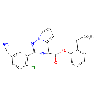 CCOC(=O)Cc1ccccc1OC(=O)c1nc(-c2cc(CN)ccc2F)nn2cccc12